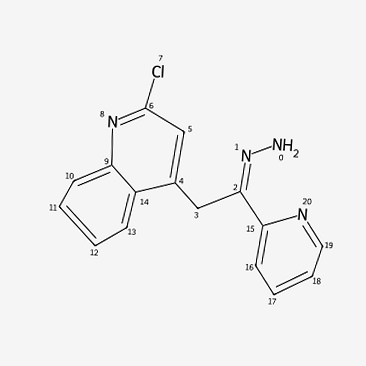 NN=C(Cc1cc(Cl)nc2ccccc12)c1ccccn1